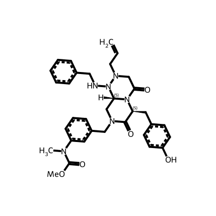 C=CCN1CC(=O)N2[C@@H](Cc3ccc(O)cc3)C(=O)N(Cc3cccc(N(C)C(=O)OC)c3)C[C@@H]2N1NCc1ccccc1